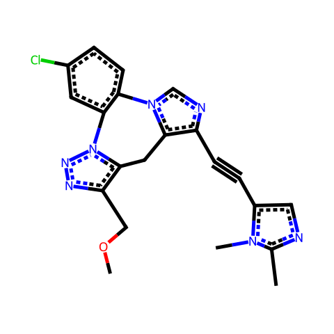 COCc1nnn2c1Cc1c(C#Cc3cnc(C)n3C)ncn1-c1ccc(Cl)cc1-2